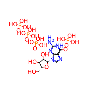 Nc1nc2c(ncn2[C@@H]2O[C@H](CO)[C@@H](O)[C@H]2O)c(=O)[nH]1.O=P(O)(O)O.O=P(O)(O)O.O=P(O)(O)O.O=P(O)(O)O